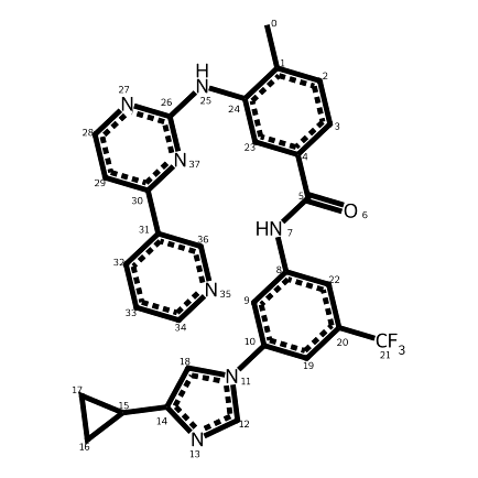 Cc1ccc(C(=O)Nc2cc(-n3cnc(C4CC4)c3)cc(C(F)(F)F)c2)cc1Nc1nccc(-c2cccnc2)n1